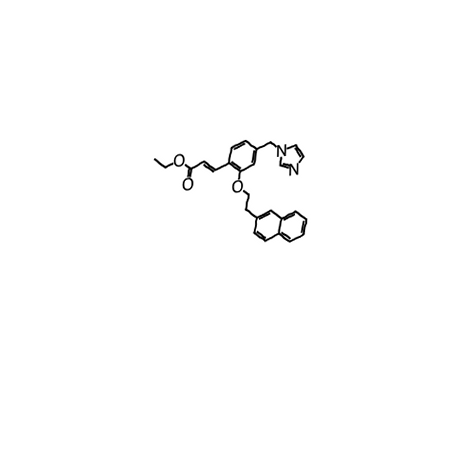 CCOC(=O)/C=C/c1ccc(Cn2ccnc2)cc1OCCc1ccc2ccccc2c1